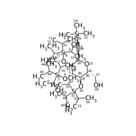 CC(C)[Si](O[C@@H]1[C@H](O[Si](C(C)C)(C(C)C)C(C)C)[C@@H](C#C[Si](C)(C)C)O[C@H](CO)[C@H]1O[Si](C(C)C)(C(C)C)C(C)C)(C(C)C)C(C)C